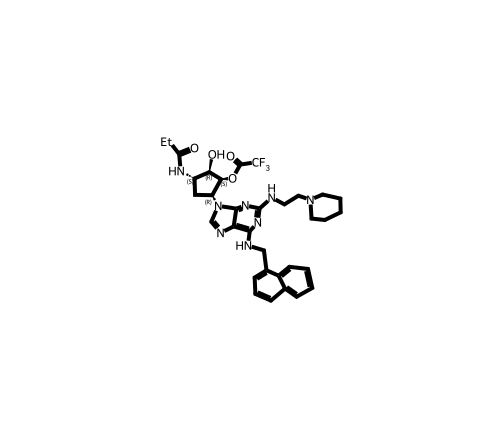 CCC(=O)N[C@H]1C[C@@H](n2cnc3c(NCc4cccc5ccccc45)nc(NCCN4CCCCC4)nc32)[C@H](OC(=O)C(F)(F)F)[C@@H]1O